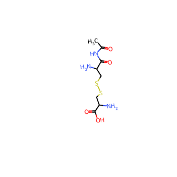 CC(=O)NC(=O)C(N)CSSCC(N)C(=O)O